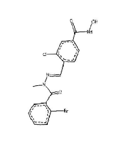 CN(N=Cc1ccc(C(=O)NO)cc1Cl)C(=O)c1ccccc1Br